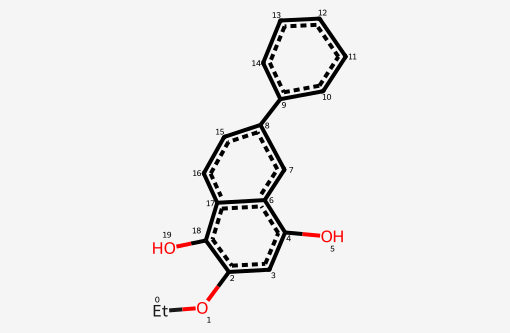 CCOc1cc(O)c2cc(-c3ccccc3)ccc2c1O